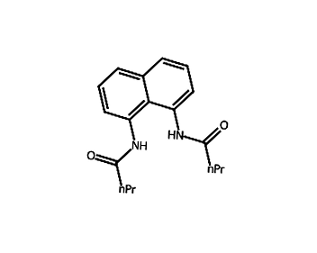 CCCC(=O)Nc1cccc2cccc(NC(=O)CCC)c12